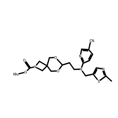 Cc1ncc(CN(CCC2OCC3(CO2)CN(C(=O)OC(C)(C)C)C3)c2ccc(C#N)cn2)s1